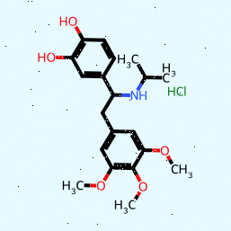 COc1cc(CC(NC(C)C)c2ccc(O)c(O)c2)cc(OC)c1OC.Cl